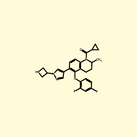 CC1CCc2c(ccc(-c3cnn(C4CNC4)c3)c2Oc2ccc(F)cc2F)N1C(=O)C1CC1